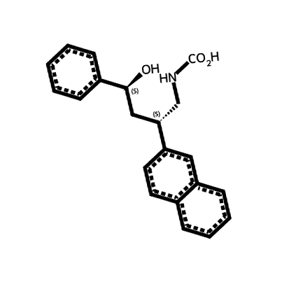 O=C(O)NC[C@@H](C[C@H](O)c1ccccc1)c1ccc2ccccc2c1